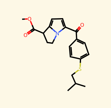 COC(=O)C1CCn2c(C(=O)c3ccc(SCC(C)C)cc3)ccc21